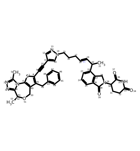 Cc1nnc2n1-c1sc(C#Cc3cnn(CCC/C=C/C(C)c4cccc5c4CN(C4CCC(=O)NC4=O)C5=O)c3)c(Cc3ccccc3)c1CO[C@H]2C